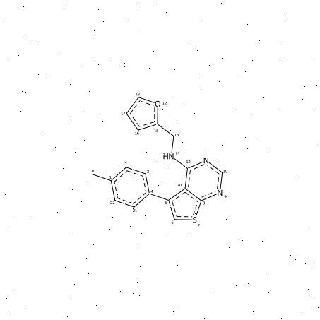 Cc1ccc(-c2csc3ncnc(NCc4ccco4)c23)cc1